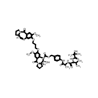 COc1cc2c(cc1OCCCOc1cc3c(cc1OC)C(=O)N1CCC[C@H]1[C@H](O)N3C(=O)OCc1ccc(NC(=O)[C@H](C)NC(=O)[C@@H](NC(=O)C(C)(C)O)C(C)C)cc1)N=C[C@@H]1CCCN1C2=O